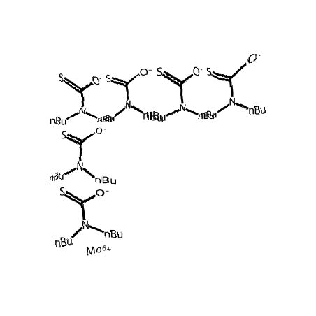 CCCCN(CCCC)C([O-])=S.CCCCN(CCCC)C([O-])=S.CCCCN(CCCC)C([O-])=S.CCCCN(CCCC)C([O-])=S.CCCCN(CCCC)C([O-])=S.CCCCN(CCCC)C([O-])=S.[Mo+6]